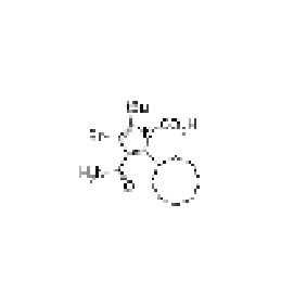 CC(C)(C)c1c(Br)c(C(N)=O)c(C2CCCCCCC2)n1C(=O)O